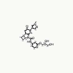 Cn1cc(-c2nc3c(cc2Cl)N2CCC2N3C(=O)Nc2ccnc(OC[C@H](O)CO)c2)cn1